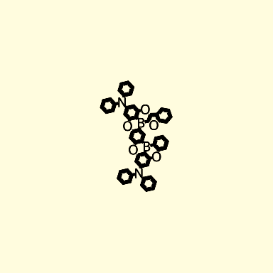 c1ccc(N(c2ccccc2)c2cc3c4c(c2)Oc2cc5c(cc2B4c2ccccc2O3)B2c3oc4ccccc4c3Oc3cc(N(c4ccccc4)c4ccccc4)cc(c32)O5)cc1